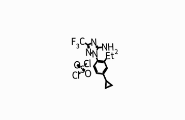 CCc1cc(C2CC2)ccc1-n1nc(C(F)(F)F)nc1N.O=S(=O)(Cl)Cl